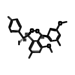 COc1cc(C)cc([C@@H]2OO[C@H]([C@H](I)c3ccc(C)cc3)c3cc(C)cc(OC)c32)c1